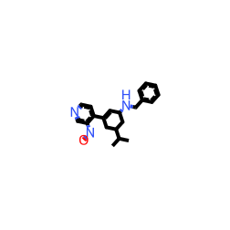 CC(C)C1CC(c2ccncc2N=O)=CC(NCc2ccccc2)C1